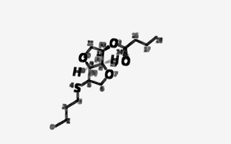 CCCCSC1CO[C@H]2[C@@H]1OC[C@H]2OC(=O)CCC